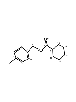 Cc1ccc(COC(=O)C2CCCCC2)cc1